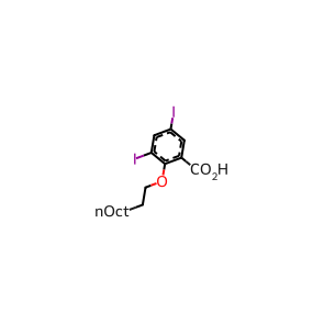 CCCCCCCCCCOc1c(I)cc(I)cc1C(=O)O